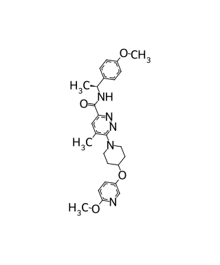 COc1ccc([C@H](C)NC(=O)c2cc(C)c(N3CCC(Oc4ccc(OC)nc4)CC3)nn2)cc1